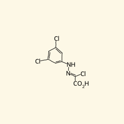 O=C(O)C(Cl)=NNc1cc(Cl)cc(Cl)c1